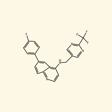 Fc1ccc(-c2ccc3nccc(NCc4cnc(C(F)(F)F)nc4)c3c2)cc1